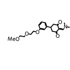 COCCOCCOc1cccc(C2CC(=O)C(=CN(C)C)C(=O)C2)c1